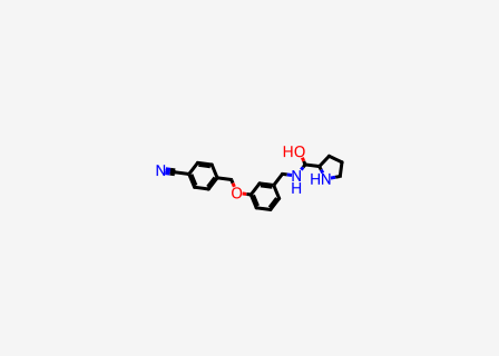 N#Cc1ccc(COc2cccc(CNC(O)C3CCCN3)c2)cc1